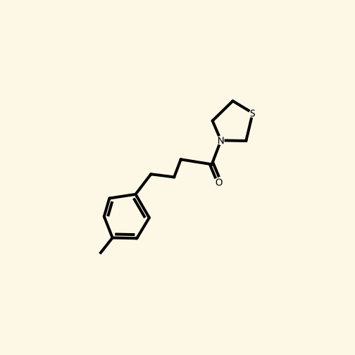 Cc1ccc(CCCC(=O)N2CCSC2)cc1